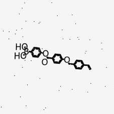 C=Cc1ccc(COc2ccc(C(=O)Oc3ccc(B(O)O)cc3)cc2)cc1